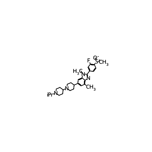 Cc1cc(C2CCN(C3CCN(C(C)C)CC3)CC2)cc2c1nc(-c1ccc([S+](C)[O-])c(F)c1)n2C